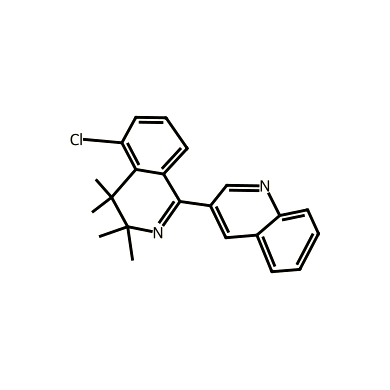 CC1(C)N=C(c2cnc3ccccc3c2)c2cccc(Cl)c2C1(C)C